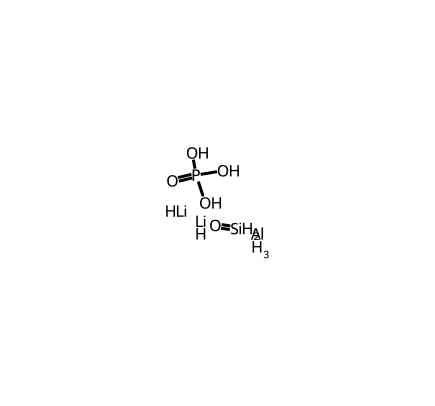 O=P(O)(O)O.O=[SiH2].[AlH3].[LiH].[LiH]